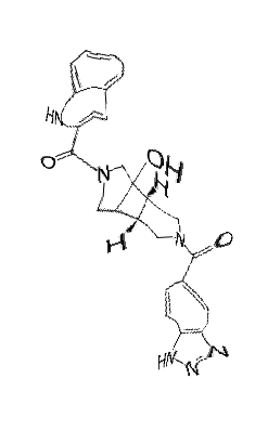 O=C(c1ccc2[nH]nnc2c1)N1C[C@@H]2C3CN(C(=O)c4cc5ccccc5[nH]4)CC3(O)[C@@H]2C1